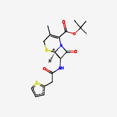 CC1=C(C(=O)OC(C)(C)C)N2C(=O)C(NC(=O)Cc3cccs3)[C@H]2SC1